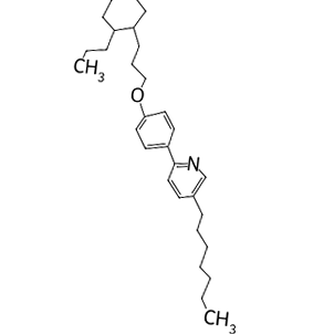 CCCCCCCc1ccc(-c2ccc(OCCCC3CCCCC3CCC)cc2)nc1